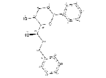 OC1COC(c2ccccc2)OC1[C@H](O)CCc1ccccc1